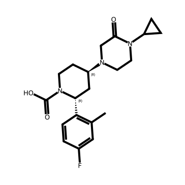 Cc1cc(F)ccc1[C@H]1C[C@H](N2CCN(C3CC3)C(=O)C2)CCN1C(=O)O